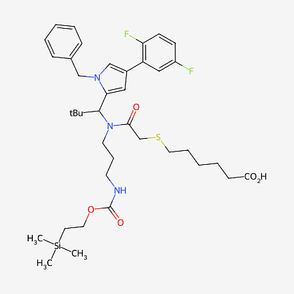 CC(C)(C)C(c1cc(-c2cc(F)ccc2F)cn1Cc1ccccc1)N(CCCNC(=O)OCC[Si](C)(C)C)C(=O)CSCCCCCC(=O)O